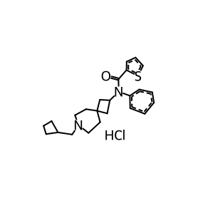 Cl.O=C(c1cccs1)N(c1ccccc1)C1CC2(CCN(CC3CCC3)CC2)C1